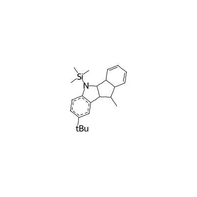 CC1C2C=CC=CC2C2C1c1cc(C(C)(C)C)ccc1N2[Si](C)(C)C